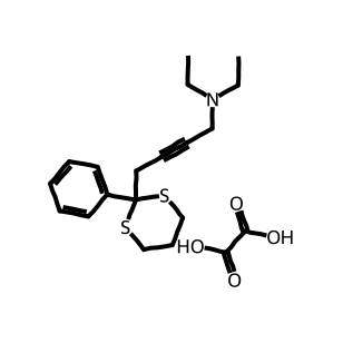 CCN(CC)CC#CCC1(c2ccccc2)SCCCS1.O=C(O)C(=O)O